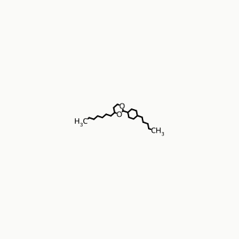 CCCCCCCC1CCOC(C2CCC(CCCCC)CC2)O1